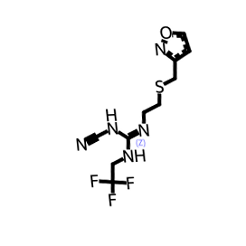 N#CN/C(=N\CCSCc1ccon1)NCC(F)(F)F